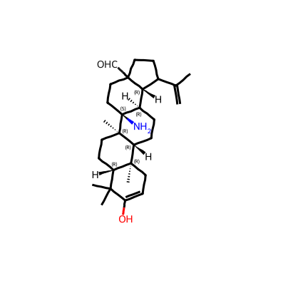 C=C(C)C1CCC2(C=O)CC[C@]3(N)[C@H](CC[C@@H]4[C@@]5(C)CC=C(O)C(C)(C)[C@@H]5CC[C@]43C)[C@@H]12